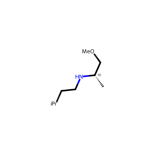 COC[C@H](C)NCCC(C)C